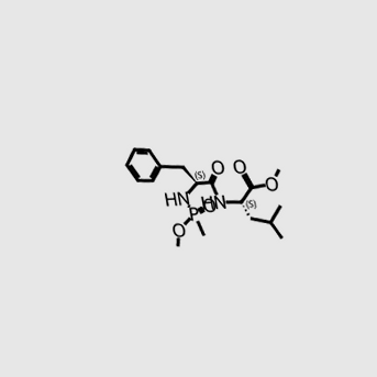 COC(=O)[C@H](CC(C)C)NC(=O)[C@H](Cc1ccccc1)NP(C)(=O)OC